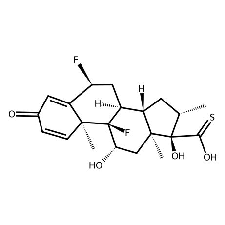 C[C@H]1C[C@H]2[C@@H]3C[C@H](F)C4=CC(=O)C=C[C@]4(C)[C@@]3(F)[C@@H](O)C[C@]2(C)[C@@]1(O)C(O)=S